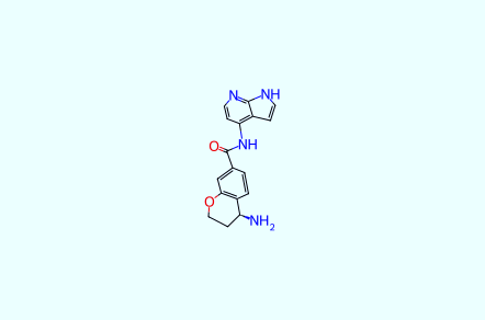 N[C@H]1CCOc2cc(C(=O)Nc3ccnc4[nH]ccc34)ccc21